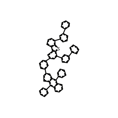 c1ccc(-c2cccc(-c3cccc4c3sc3c(-c5cccc(-c6ccccc6)c5)cc(-c5cccc(-c6ccc7c(-c8ccccc8)c8ccccc8c(-c8ccccc8)c7c6)c5)cc34)c2)cc1